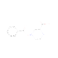 O=C(ON1CCNC(C(=O)O)C1)c1ccccc1